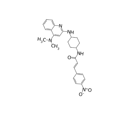 CN(C)c1cc(NC2CCC(NC(=O)C=Cc3ccc([N+](=O)[O-])cc3)CC2)nc2ccccc12